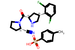 Cc1ccc(S(=O)(=O)O)cc1.N#C[C@@H]1CCCN1C(=O)[C@@H]1C[C@H](c2c(F)cccc2F)CN1